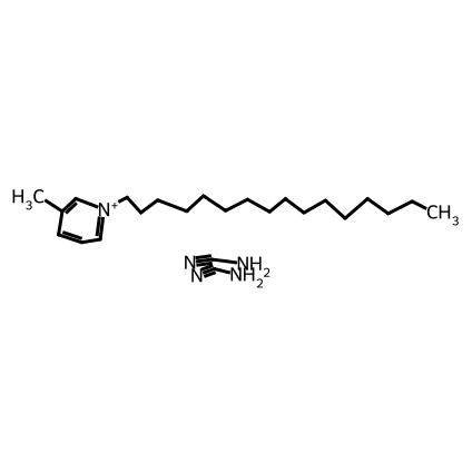 CCCCCCCCCCCCCCCC[n+]1cccc(C)c1.N#CN.N#CN